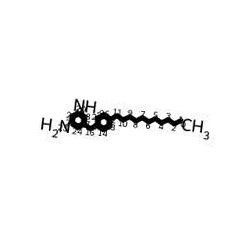 CCCCCCCCCCCCc1ccc(Cc2cc(N)cc(N)c2)cc1